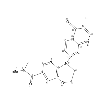 CCCCN(C)C(=O)c1cnc2c(c1)OCCN2c1ccn2c(=O)c(C)cnc2c1